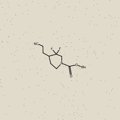 CC(C)(C)OC(=O)N1CCC(CCC#N)C(F)(F)C1